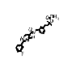 Cc1nc(-c2cccc(F)c2)ncc1C(=O)NCc1cccc(CCC(C)(C)OC(N)=O)c1